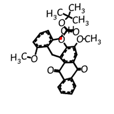 COc1cccc(CO)c1Cc1c(OC(=O)OC(C)(C)C)c(OC)cc2c1C(=O)c1ccccc1C2=O